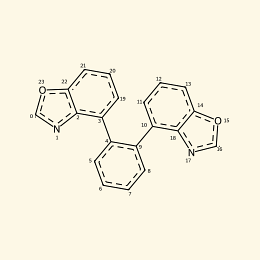 [c]1nc2c(-c3ccccc3-c3cccc4o[c]nc34)cccc2o1